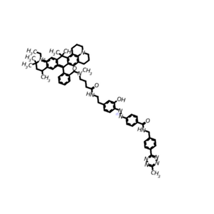 CC[N+]1=c2cc3c(cc2C(C)CC1(C)C)=C(c1ccccc1C(=O)N(C)CCCC(=O)NCCc1ccc(/N=N/c2ccc(C(=O)NCc4ccc(-c5nnc(C)nn5)cc4)cc2)c(O)c1)c1cc2c4c(c1C3(C)C)CCCN4CCC2